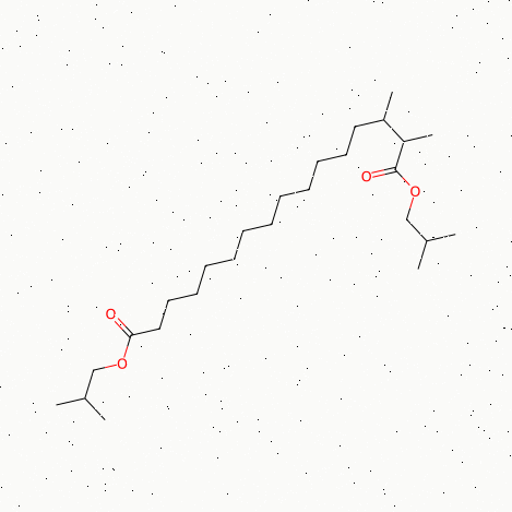 CC(C)COC(=O)CCCCCCCCCCCCC(C)C(C)C(=O)OCC(C)C